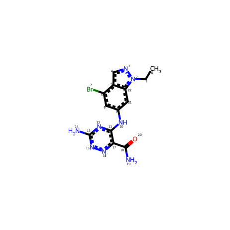 CCn1ncc2c(Br)cc(Nc3nc(N)nnc3C(N)=O)cc21